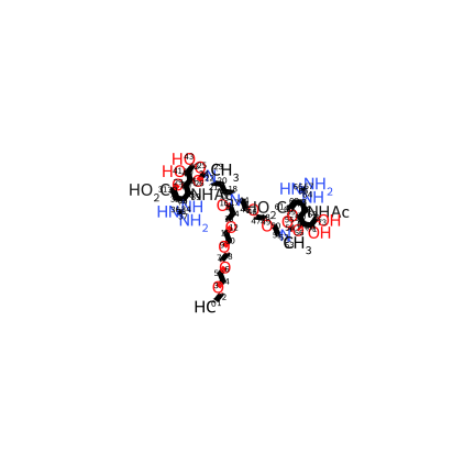 C#CCOCCOCCOCCOCCC(=O)N(CCCCN(C)C(=O)O[C@@H]([C@@H]1OC(C(=O)O)=C[C@H](NC(=N)N)[C@H]1NC(C)=O)[C@H](O)CO)CCOCCOCCN(C)C(=O)O[C@@H]([C@@H]1OC(C(=O)O)=C[C@H](NC(=N)N)[C@H]1NC(C)=O)[C@H](O)CO